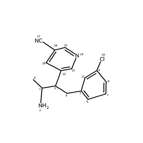 CC(N)C(Cc1cccc(Cl)c1)c1cncc(C#N)c1